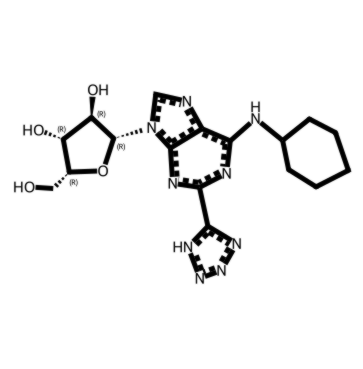 OC[C@H]1O[C@@H](n2cnc3c(NC4CCCCC4)nc(-c4nnn[nH]4)nc32)[C@H](O)[C@H]1O